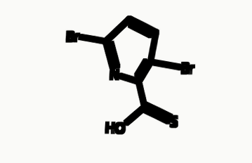 OC(=S)c1nc(Br)ccc1Br